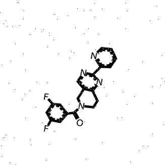 O=C(c1cc(F)cc(F)c1)N1CCc2nc(-c3ccccn3)ncc2C1